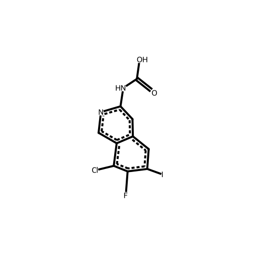 O=C(O)Nc1cc2cc(I)c(F)c(Cl)c2cn1